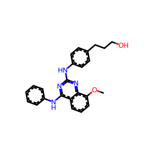 COc1cccc2c(Nc3ccccc3)nc(Nc3ccc(CCCO)cc3)nc12